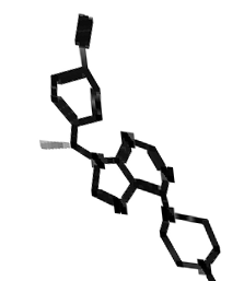 C#Cc1ccc([C@@H](C)n2cnc3c(N4CCN(C(=O)O)CC4)ncnc32)cc1